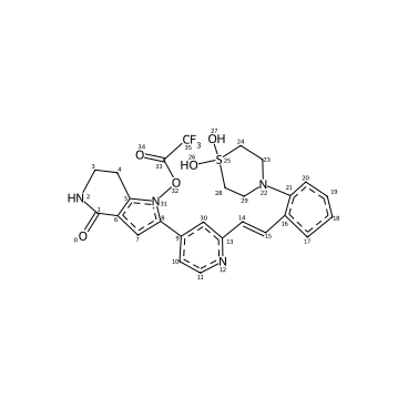 O=C1NCCc2c1cc(-c1ccnc(C=Cc3ccccc3N3CCS(O)(O)CC3)c1)n2OC(=O)C(F)(F)F